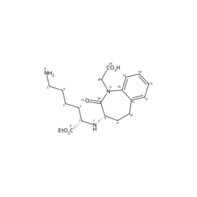 CCOC(=O)[C@H](CCCCN)N[C@H]1CCc2ccccc2N(CC(=O)O)C1=O